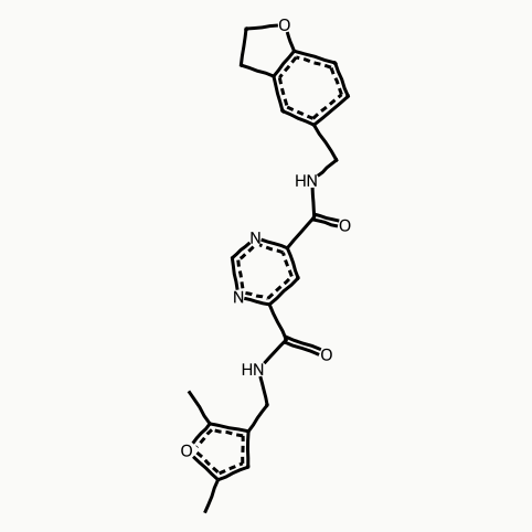 Cc1cc(CNC(=O)c2cc(C(=O)NCc3ccc4c(c3)CCO4)ncn2)c(C)o1